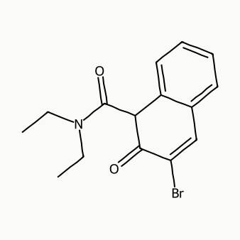 CCN(CC)C(=O)C1C(=O)C(Br)=Cc2ccccc21